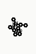 c1ccc(-c2ccc(-c3nc(-c4ccccc4)nc(-n4c5ccccc5c5ccc([Si]6(c7ccccc7)c7ccccc7Oc7ccccc76)cc54)n3)cc2)cc1